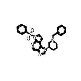 O=S(=O)(c1ccccc1)n1ccc2c3c(cnc21)ncn3[C@@H]1CCCN(Cc2ccccc2)C1